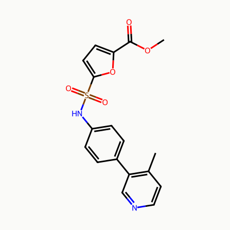 COC(=O)c1ccc(S(=O)(=O)Nc2ccc(-c3cnccc3C)cc2)o1